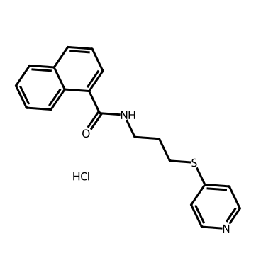 Cl.O=C(NCCCSc1ccncc1)c1cccc2ccccc12